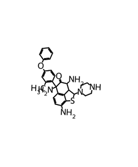 Cc1cc(Oc2ccccc2)ccc1C1(N)C(=O)C(N)C2c3c1ccc(N)c3SC2N1CCNCC1